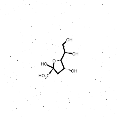 O=C(O)[C@]1(O)C[C@@H](O)[C@@H]([C@H](O)CO)O1